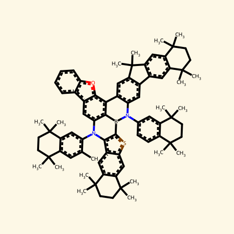 Cc1cc2c(cc1N1c3cc4c(oc5ccccc54)c4c3B(c3sc5cc6c(cc5c31)C(C)(C)CCC6(C)C)N(c1ccc3c(c1)C(C)(C)CCC3(C)C)c1cc3c(cc1-4)C(C)(C)c1cc4c(cc1-3)C(C)(C)CCC4(C)C)C(C)(C)CCC2(C)C